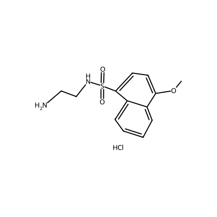 COc1ccc(S(=O)(=O)NCCN)c2ccccc12.Cl